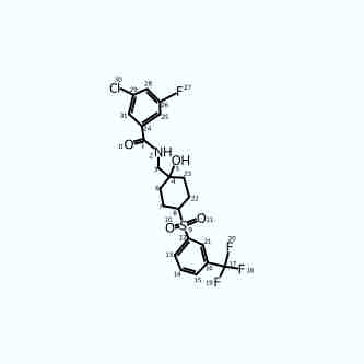 O=C(NCC1(O)CCC(S(=O)(=O)c2cccc(C(F)(F)F)c2)CC1)c1cc(F)cc(Cl)c1